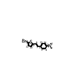 CN(C)c1ccc(/C=C/c2ccc(Br)s2)cc1